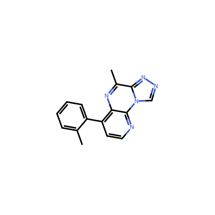 Cc1ccccc1-c1ccnc2c1nc(C)c1nncn12